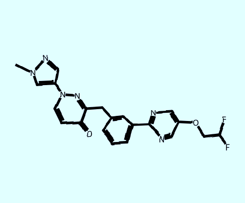 Cn1cc(-n2ccc(=O)c(Cc3cccc(-c4ncc(OCC(F)F)cn4)c3)n2)cn1